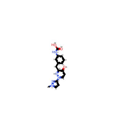 Cn1ccc(-n2ccc(=O)c(Cc3cccc(NC(=O)O)c3)n2)n1